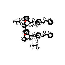 COC(=O)c1sccc1NC(C(=O)O[C@H]1C[N+]2(CC(=O)c3ccccn3)CCC1CC2)c1ccccc1.COC(=O)c1sccc1NC(C(=O)O[C@H]1C[N+]2(CC(=O)c3ccccn3)CCC1CC2)c1ccccc1.O=C([O-])C(F)(F)F.O=C([O-])C(F)(F)F